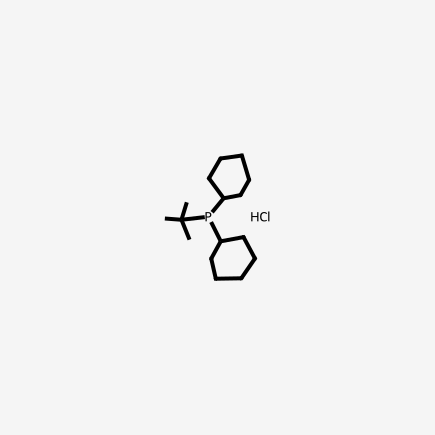 CC(C)(C)P(C1CCCCC1)C1CCCCC1.Cl